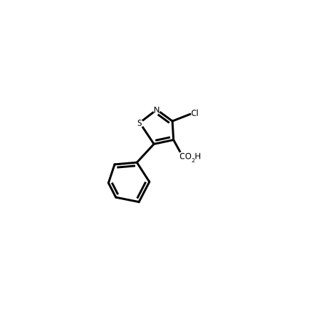 O=C(O)c1c(Cl)nsc1-c1ccccc1